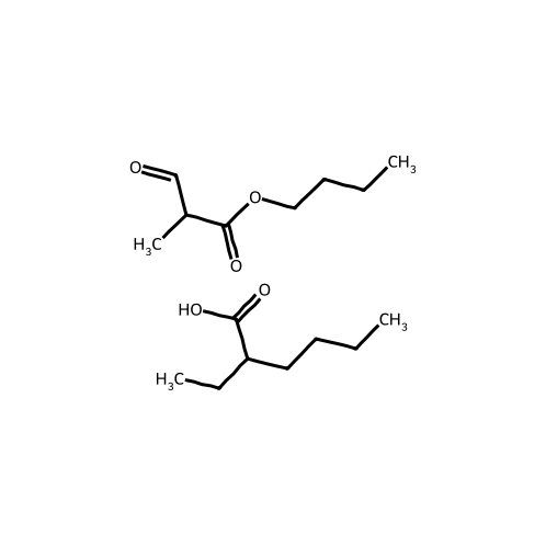 CCCCC(CC)C(=O)O.CCCCOC(=O)C(C)C=O